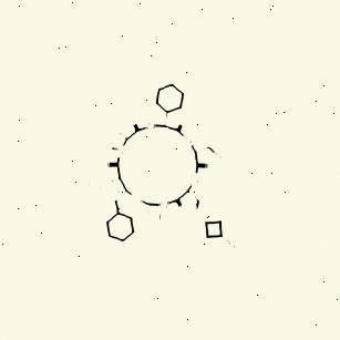 CCC[C@H]1C(=O)N[C@@H](C2CCCCC2)C(=O)N[C@@H](CN)C(=O)N[C@@H](CO[C@H]2C[C@H](N)C2)C(=O)N[C@H](C)O[C@H](CC2CCCCC2)[C@@H](C)C(=O)N1C